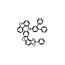 c1ccc(-c2nc3c(ccc4oc5ccc(N(c6ccc(-c7ccccc7)c(-c7ccccc7)c6)c6cccc7oc8ccccc8c67)cc5c43)o2)cc1